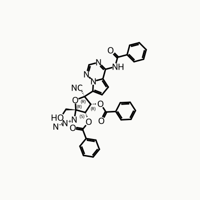 N#C[C@@]1(c2ccc3c(NC(=O)c4ccccc4)ncnn23)O[C@@](CO)(N=[N+]=[N-])[C@@H](OC(=O)c2ccccc2)[C@H]1OC(=O)c1ccccc1